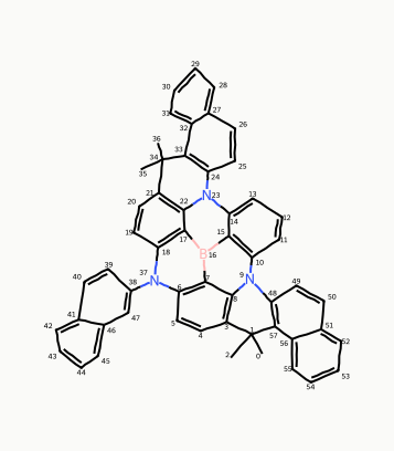 CC1(C)c2ccc3c4c2N(c2cccc5c2B4c2c(ccc4c2N5c2ccc5ccccc5c2C4(C)C)N3c2ccc3ccccc3c2)c2ccc3ccccc3c21